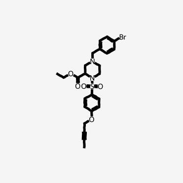 CC#CCOc1ccc(S(=O)(=O)N2CCN(Cc3ccc(Br)cc3)CC2C(=O)OCC)cc1